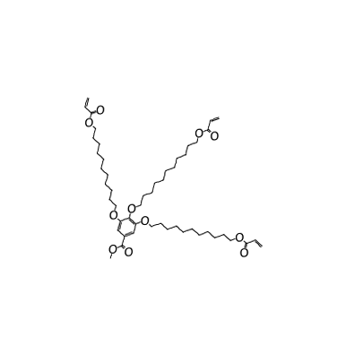 C=CC(=O)OCCCCCCCCCCCOc1cc(C(=O)OC)cc(OCCCCCCCCCCCOC(=O)C=C)c1OCCCCCCCCCCCOC(=O)C=C